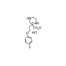 Cl.O=C(O)[C@@]1(CCOc2ccc(F)cc2)CNCCN1